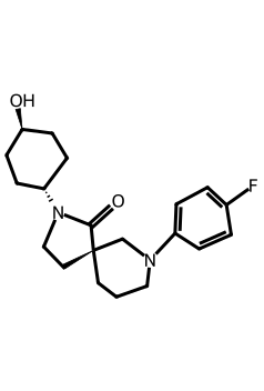 O=C1N([C@H]2CC[C@H](O)CC2)CC[C@@]12CCCN(c1ccc(F)cc1)C2